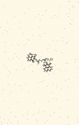 CCOC(=O)N(CCCN(C)CCN1C(=O)c2cccc3cccc(c23)C1=O)CCN1C(=O)c2cccc3cccc(c23)C1=O